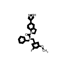 COc1cc(F)cc(CN(Cc2ccccc2)C(=O)N2CCc3cc(-c4cn[nH]c4)ccc32)c1